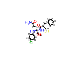 NC(=O)CC[C@@](NC(=O)C(CS)Cc1ccccc1)(Nc1ccc(Cl)cc1)C(=O)O